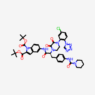 CC(C)(C)OC(=O)c1cc2cc(NC(=O)[C@H](Cc3ccc(NC(=O)N4CCCCC4)cc3)N3CCN(c4cc(Cl)ccc4-n4cnnn4)C(=O)C3=O)ccc2n1C(=O)OC(C)(C)C